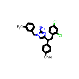 COc1ccc(C(Cc2ccc(Cl)cc2Cl)c2cn(Cc3cccc(C(F)(F)F)c3)c(N)n2)cc1